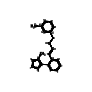 Cn1nnnc1-c1ccccc1C=NOCc1cccc(N)n1